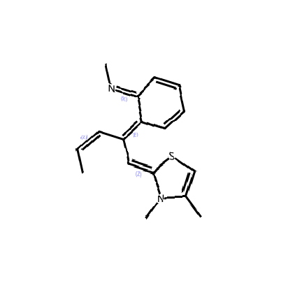 C\C=C/C(/C=C1\SC=C(C)N1C)=C1/C=CC=C/C1=N\C